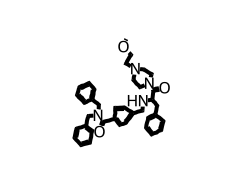 COCCN1CCN(C(=O)C(Cc2ccccc2)NCc2ccc(C(=O)N(Cc3ccccc3)Cc3ccccc3)cc2)CC1